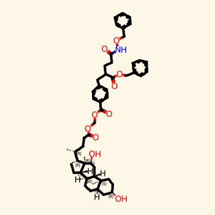 C[C@H](CCC(=O)OCOC(=O)c1ccc(CC(CCC(=O)NOCc2ccccc2)C(=O)OCc2ccccc2)cc1)[C@H]1CC[C@H]2[C@@H]3CC[C@@H]4C[C@H](O)CC[C@]4(C)[C@H]3C[C@H](O)[C@]12C